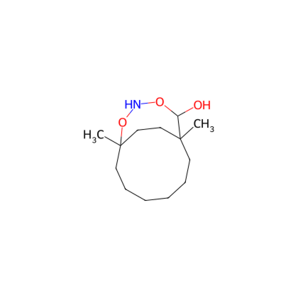 CC12CCCCCCC(C)(CC1)C(O)ONO2